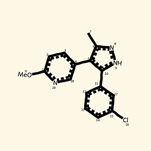 COc1ccc(-c2c(C)n[nH]c2-c2cccc(Cl)c2)cn1